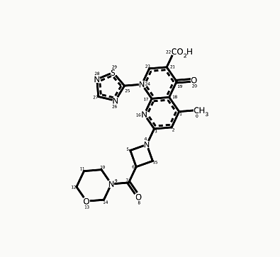 Cc1cc(N2CC(C(=O)N3CCCOC3)C2)nc2c1c(=O)c(C(=O)O)cn2-c1ncns1